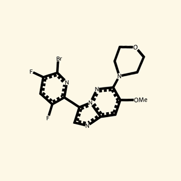 COc1cc2ncc(-c3nc(Br)c(F)cc3F)n2nc1N1CCOCC1